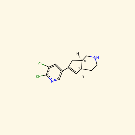 Clc1cc(C2=C[C@@H]3CCNC[C@@H]3C2)cnc1Cl